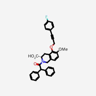 COc1ccc2c(c1OCC#Cc1ccc(F)cc1)C[C@@H](C(=O)O)N(C(=O)C(c1ccccc1)c1ccccc1)C2